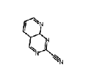 N#CC1=NC2N=CC=CC2C=N1